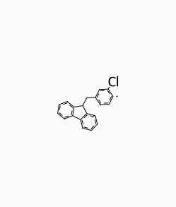 Clc1[c]ccc(CC2c3ccccc3-c3ccccc32)c1